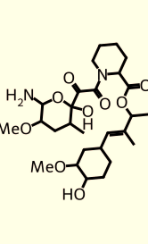 COC1CC(/C=C(\C)C(C)OC(=O)C2CCCCN2C(=O)C(=O)C2(O)OC(N)C(OC)CC2C)CCC1O